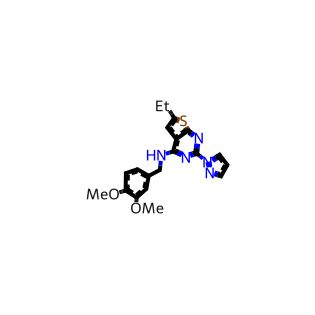 CCc1cc2c(NCc3ccc(OC)c(OC)c3)nc(-n3cccn3)nc2s1